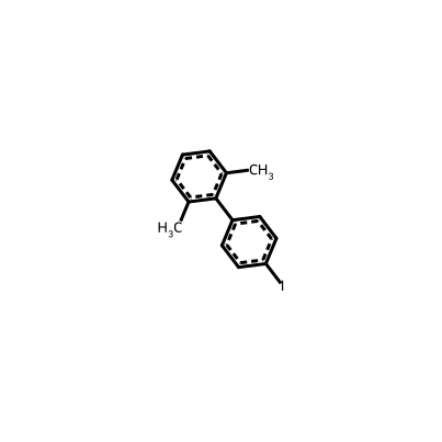 Cc1cccc(C)c1-c1ccc(I)cc1